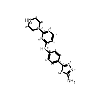 Nc1nnc(-c2ccc(Nc3ccnc(N4CCNCC4)n3)cc2)s1